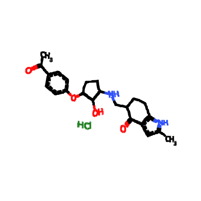 CC(=O)c1ccc(OC2CCC(NCC3CCc4[nH]c(C)cc4C3=O)C2O)cc1.Cl